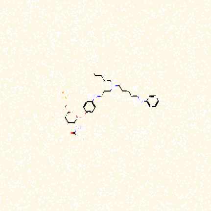 CCCCCN(CCCCCNc1ccccc1)CCCNc1ccc(O[C@@H]2O[C@H](COS(=O)(=O)O)[C@@H](O)[C@H](O)[C@H]2NC(C)=O)cc1